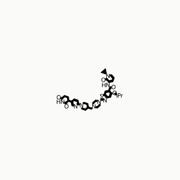 CC(C)Oc1cc2nc(N3CCN(CC4CCN(c5ccc(C6CCC(=O)NC6=O)cn5)CC4)CC3)sc2cc1C(=O)Nc1cccn(C2CC2)c1=O